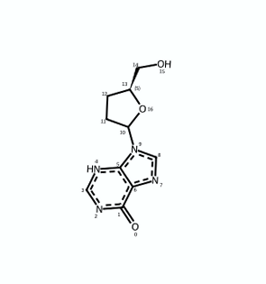 O=c1nc[nH]c2c1ncn2C1CC[C@@H](CO)O1